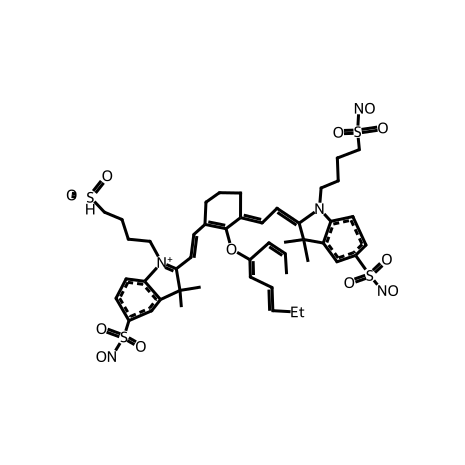 C\C=C/C(=C\C=C\CC)OC1=C(/C=C/C2=[N+](CCCC[SH](=O)=O)c3ccc(S(=O)(=O)N=O)cc3C2(C)C)CCC/C1=C\C=C1\N(CCCCS(=O)(=O)N=O)c2ccc(S(=O)(=O)N=O)cc2C1(C)C